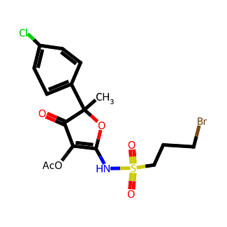 CC(=O)OC1=C(NS(=O)(=O)CCCBr)OC(C)(c2ccc(Cl)cc2)C1=O